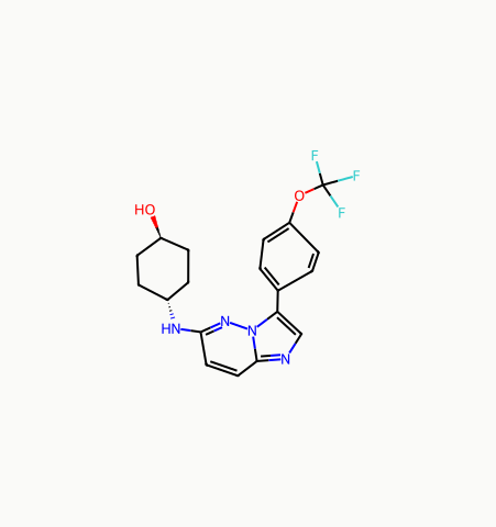 O[C@H]1CC[C@H](Nc2ccc3ncc(-c4ccc(OC(F)(F)F)cc4)n3n2)CC1